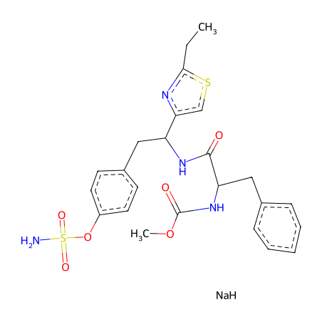 CCc1nc(C(Cc2ccc(OS(N)(=O)=O)cc2)NC(=O)C(Cc2ccccc2)NC(=O)OC)cs1.[NaH]